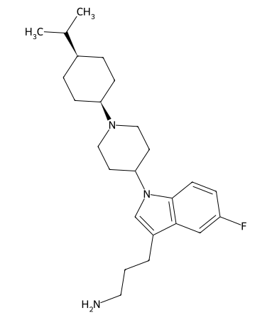 CC(C)[C@H]1CC[C@@H](N2CCC(n3cc(CCCN)c4cc(F)ccc43)CC2)CC1